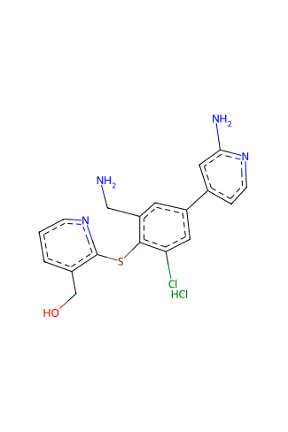 Cl.NCc1cc(-c2ccnc(N)c2)cc(Cl)c1Sc1ncccc1CO